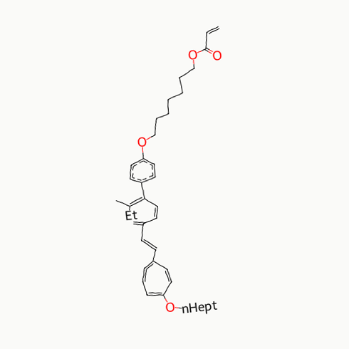 C=CC(=O)OCCCCCCCOc1ccc(C(/C=C\C(=C)C=CC2=C=CC=C(OCCCCCCC)C=C2)=C(\C)CC)cc1